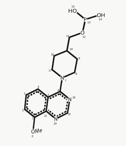 COc1cccc2c(N3CCC(COP(O)O)CC3)ncnc12